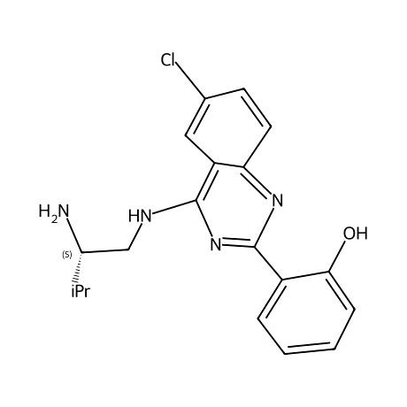 CC(C)[C@H](N)CNc1nc(-c2ccccc2O)nc2ccc(Cl)cc12